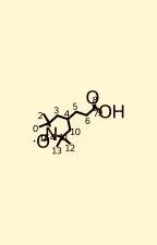 CC1(C)CC(CCC(=O)O)CC(C)(C)N1[O]